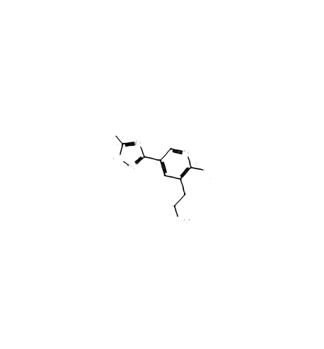 COCCc1cc(-c2noc(C(F)(F)F)n2)cnc1C=O